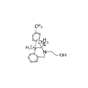 Cc1ccc([Si]2(C)c3ccccc3CN(CCO)C2(C)C)cc1